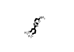 C=C/C=C\C(=C/C=C)c1ncn(/C=C\C(N)=O)n1